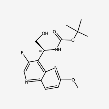 COc1ccc2ncc(F)c([C@@H](CO)NC(=O)OC(C)(C)C)c2n1